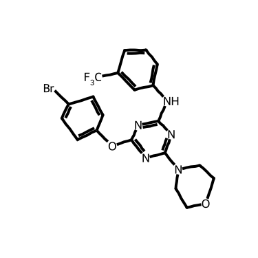 FC(F)(F)c1cccc(Nc2nc(Oc3ccc(Br)cc3)nc(N3CCOCC3)n2)c1